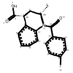 C[C@H]1C[C@@H](C(=O)O)c2ccccc2N1C(=O)c1ccc(F)cc1